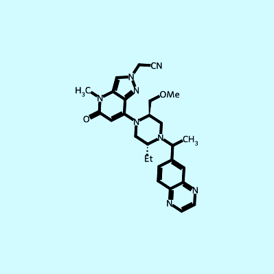 CC[C@@H]1CN(c2cc(=O)n(C)c3cn(CC#N)nc23)[C@@H](COC)CN1C(C)c1ccc2nccnc2c1